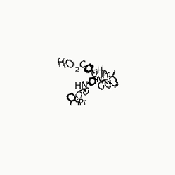 CC(C)C1C(C)CCCC1OCC(=O)Nc1ccc(NC(=O)COC2CCCC(C)C2C(C)C)c(Oc2ccc(C(=O)O)cc2)c1